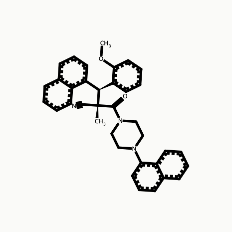 COc1ccccc1[C@H](c1cccc2ccccc12)[C@@](C)(C#N)C(=O)N1CCN(c2cccc3ccccc23)CC1